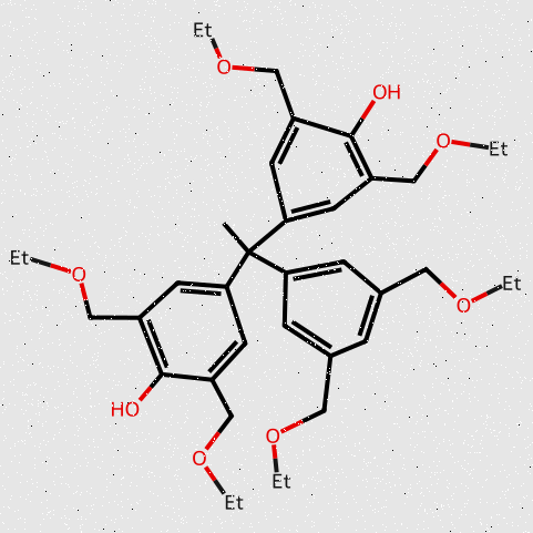 CCOCc1cc(COCC)cc(C(C)(c2cc(COCC)c(O)c(COCC)c2)c2cc(COCC)c(O)c(COCC)c2)c1